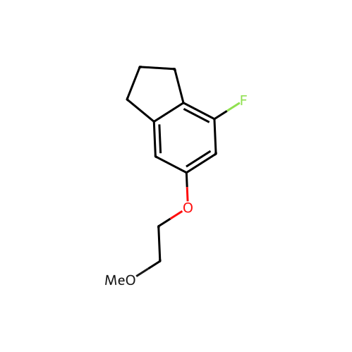 COCCOc1cc(F)c2c(c1)CCC2